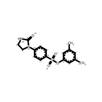 Cc1cc(C)cc(OS(=O)(=O)c2ccc(N3CCNC3=O)cc2)c1